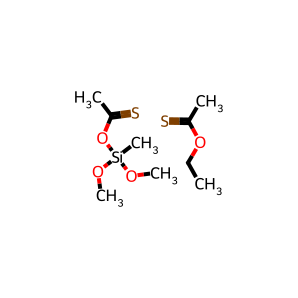 CCOC(C)=S.CO[Si](C)(OC)OC(C)=S